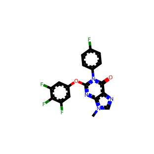 Cn1cnc2c(=O)n(-c3ccc(F)cc3)c(Oc3cc(F)c(F)c(F)c3)nc21